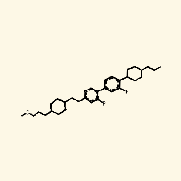 CCCC1CCC(c2ccc(-c3ccc(CCC4CCC(CCCOC)CC4)cc3F)cc2F)CC1